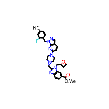 COC(=O)c1ccc2nc(CN3CCN(c4ccc5cnn(Cc6ccc(C#N)cc6F)c5n4)CC3)n(CC3CCO3)c2c1